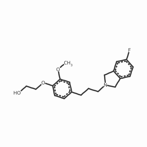 COc1cc(CCCN2Cc3ccc(F)cc3C2)ccc1OCCO